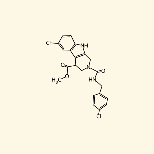 COC(=O)C1CN(C(=O)NCc2ccc(Cl)cc2)Cc2[nH]c3ccc(Cl)cc3c21